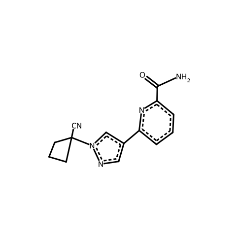 N#CC1(n2cc(-c3cccc(C(N)=O)n3)cn2)CCC1